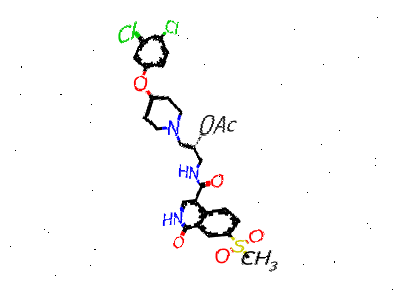 CC(=O)O[C@H](CNC(=O)c1c[nH]c(=O)c2cc(S(C)(=O)=O)ccc12)CN1CCC(Oc2ccc(Cl)c(Cl)c2)CC1